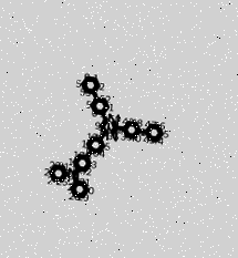 c1ccc(-c2ccc(-c3cc(-c4ccc(-c5ccc(N(c6ccccc6)c6ccccc6)cc5)cc4)nc(-c4ccc(-c5ccccc5)cc4)n3)cc2)cc1